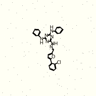 Clc1ccccc1-c1ccc(/C=N/Nc2nc(Nc3ccccc3)nc(Nc3ccccc3)n2)o1